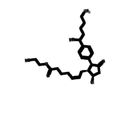 CCCCCC(O)c1ccc([C@H]2C(=O)C[C@@H](Cl)[C@@H]2C/C=C\CCCC(=O)OCCO)cc1